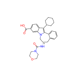 O=C(O)c1ccc2c(C3CCCCC3)c3n(c2c1)C[C@@H](NC(=O)N1CCOCC1)Cc1ccccc1-3